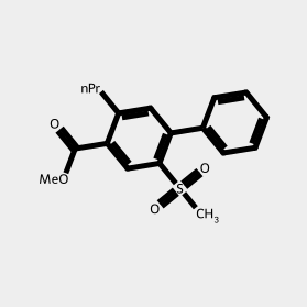 CCCc1cc(-c2ccccc2)c(S(C)(=O)=O)cc1C(=O)OC